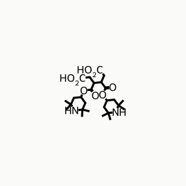 CC1(C)CC(OC(=O)C(CC(=O)O)C(CC(=O)O)C(=O)OC2CC(C)(C)NC(C)(C)C2)CC(C)(C)N1